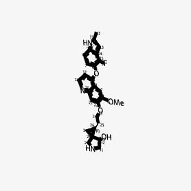 COc1cc2c(Oc3ccc4[nH]c(C)cc4c3F)ccnc2cc1OCC[C@H]1CC12CNCC2O